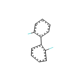 Fc1ccc[c]c1-c1ccccc1F